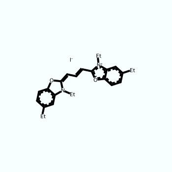 CCc1ccc2c(c1)N(CC)C(=CC=Cc1oc3ccc(CC)cc3[n+]1CC)O2.[I-]